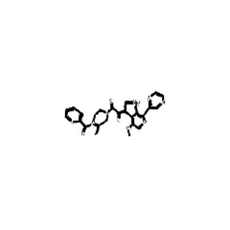 COc1cnc(-c2cnccn2)c2c1C(C(=O)C(=O)N1CCN(C(=O)c3ccccn3)C(C)C1)CN2